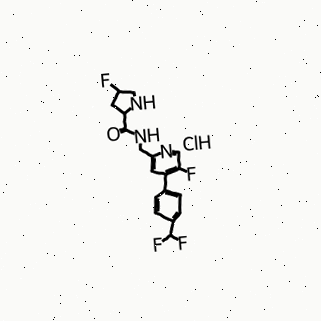 Cl.O=C(NCc1cc(-c2ccc(C(F)F)cc2)c(F)cn1)C1CC(F)CN1